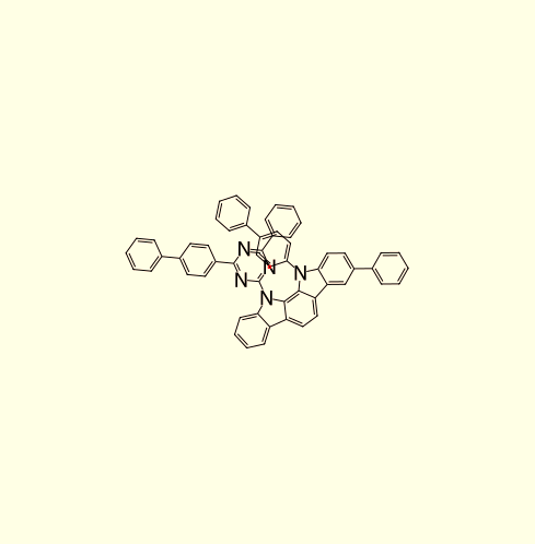 c1ccc(-c2ccc(-c3nc(-c4ccccc4)nc(-n4c5ccccc5c5ccc6c7cc(-c8ccccc8)ccc7n(-c7ccc(-c8ccccc8)cc7)c6c54)n3)cc2)cc1